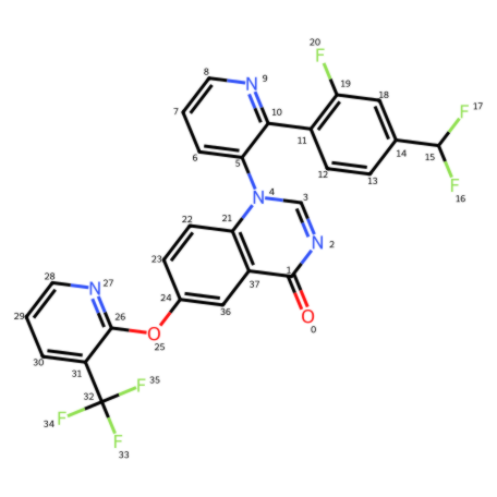 O=c1ncn(-c2cccnc2-c2ccc(C(F)F)cc2F)c2ccc(Oc3ncccc3C(F)(F)F)cc12